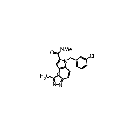 CNC(=O)c1cc2c(ccc3nnc(C)n32)n1Cc1cccc(Cl)c1